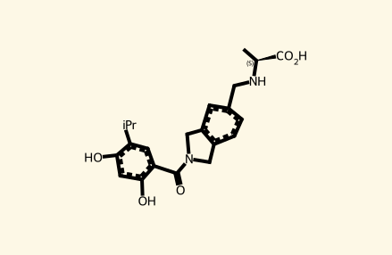 CC(C)c1cc(C(=O)N2Cc3ccc(CN[C@@H](C)C(=O)O)cc3C2)c(O)cc1O